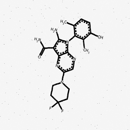 Cc1ccc(O)c(C)c1-n1c(N)c(C(N)=O)c2nc(N3CCC(F)(F)CC3)cnc21